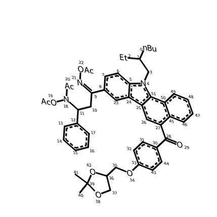 CCCCC(CC)Cn1c2ccc(/C(CC(c3ccccc3)N(OC(C)=O)C(C)=O)=N\OC(C)=O)cc2c2cc(C(=O)c3ccc(OCC4COC(C)(C)O4)cc3)c3ccccc3c21